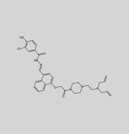 C=CCN(CC=C)CCN1CCN(C(=O)COc2ccc(/C=N/NC(=O)c3ccc(O)c(Cl)c3)c3ccccc23)CC1